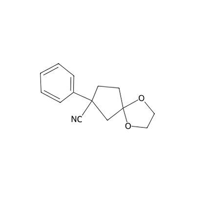 N#CC1(c2ccccc2)CCC2(C1)OCCO2